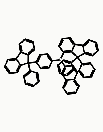 c1ccc(C2(c3ccc(N(c4ccc5ccccc5c4)c4cccc5c4C(c4ccccc4)(c4ccccc4)c4ccccc4-5)cc3)c3ccccc3-c3ccccc32)cc1